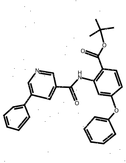 CC(C)(C)OC(=O)c1ccc(Oc2ccccc2)cc1NC(=O)c1cncc(-c2ccccc2)c1